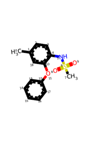 Cc1ccc(NS(C)(=O)=O)c(Oc2ccccc2)c1